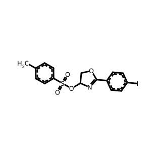 Cc1ccc(S(=O)(=O)OC2COC(c3ccc(I)cc3)=N2)cc1